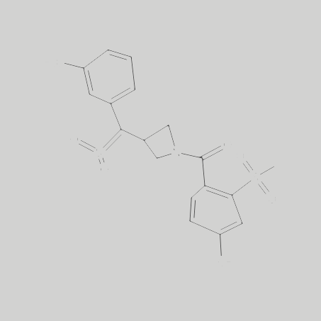 CS(=O)(=O)c1cc(C(F)(F)F)ccc1C(=O)N1CC(C(c2cccc(C(F)(F)F)c2)=S(=O)=O)C1